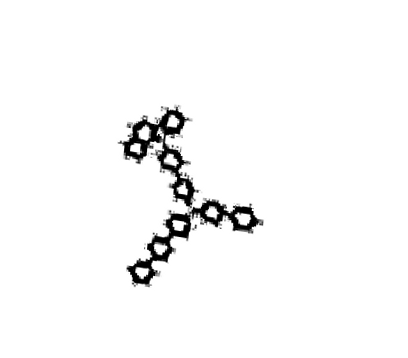 c1ccc(-c2ccc(-c3ccc(N(c4ccc(-c5ccccc5)cc4)c4ccc(-c5ccc(-n6c7ccccc7c7ccc8ccccc8c76)cc5)cc4)cc3)cc2)cc1